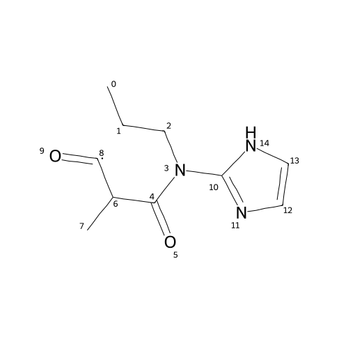 CCCN(C(=O)C(C)[C]=O)c1ncc[nH]1